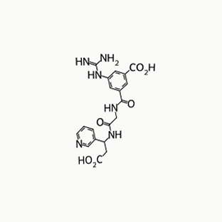 N=C(N)Nc1cc(C(=O)O)cc(C(=O)NCC(=O)NC(CC(=O)O)c2cccnc2)c1